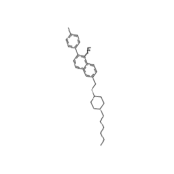 CCCCCCC1CCC(CCc2ccc3c(F)c(-c4ccc(C)cc4)ccc3c2)CC1